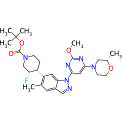 COc1nc(N2CCO[C@@H](C)C2)cc(-n2ncc3cc(C)c([C@H]4CCN(C(=O)OC(C)(C)C)C[C@H]4F)cc32)n1